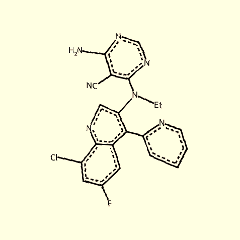 CCN(c1cnc2c(Cl)cc(F)cc2c1-c1ccccn1)c1ncnc(N)c1C#N